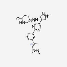 C=NN(C)/C=C(\C)c1cccc(-c2ncc(-c3cnn(C)c3)c(N[C@H]3CCC(=O)NC3)n2)c1